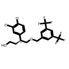 OCC[C@H](COCc1cc(C(F)(F)F)cc(C(F)(F)F)c1)c1ccc(Cl)c(Cl)c1